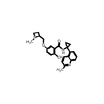 Cc1ccc2c(C3(NC(=O)c4cc(OCC5CCN5C)ccc4C)CC3)cccc2n1